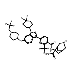 CC1CC2CC(C1)C(NC(=O)c1ccc(-c3cn(C4CCC(F)(F)CC4)c4cc(OC5CCN(CC(F)(F)F)CC5)ccc34)nc1C(F)(F)F)(C(=O)O)C2